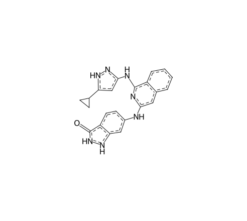 O=c1[nH][nH]c2cc(Nc3cc4ccccc4c(Nc4cc(C5CC5)[nH]n4)n3)ccc12